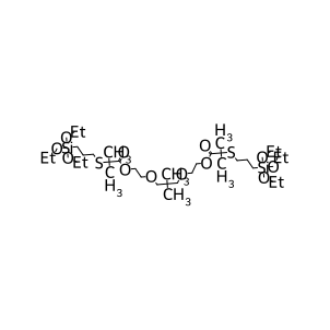 CCO[Si](CCCSC(C)(C)C(=O)OCCOCC(C)(C)COCCOC(=O)C(C)(C)SCCC[Si](OCC)(OCC)OCC)(OCC)OCC